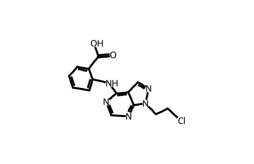 O=C(O)c1ccccc1Nc1ncnc2c1cnn2CCCl